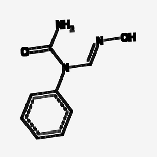 NC(=O)N(C=NO)c1ccccc1